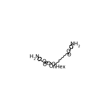 CCCCCC[C@H](CCCCCCCCCCC(=O)OCc1ccc(N)cc1)OC(=O)COCC(=O)OCc1ccc(N)cc1